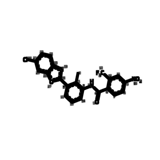 Cc1c(NC(=O)c2ccc([N+](=O)[O-])cc2C(F)(F)F)cccc1-c1nc2ccc(Cl)cc2o1